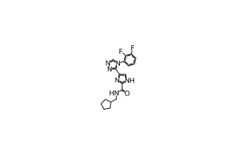 O=C(NCC1CCCC1)c1nc(-c2nncn2-c2cccc(F)c2F)c[nH]1